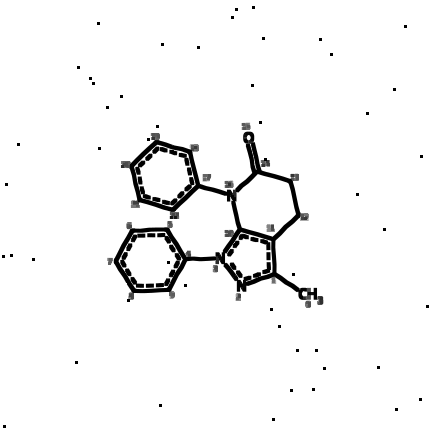 Cc1nn(-c2ccccc2)c2c1CCC(=O)N2c1ccccc1